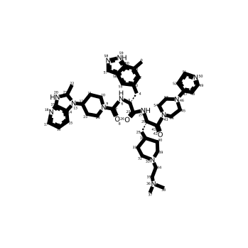 Cc1cc(C[C@@H](NC(=O)N2CCC(N3c4cccnc4NC3C)CC2)C(=O)N[C@@H](CC2CCN(CCN(C)C)CC2)C(=O)N2CCN(c3ccncc3)CC2)cc2cn[nH]c12